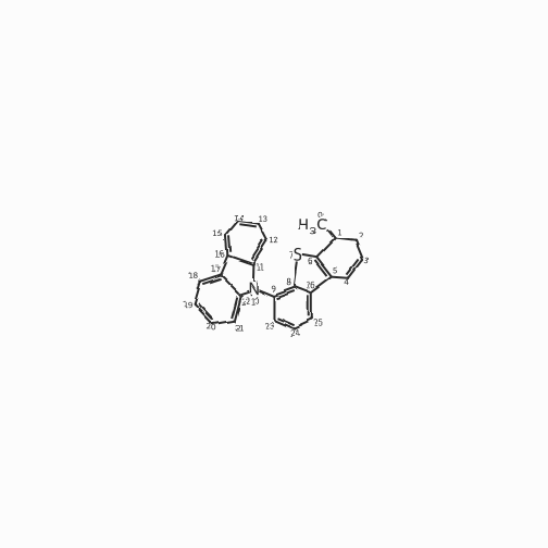 CC1CC=Cc2c1sc1c(-n3c4ccccc4c4ccccc43)cccc21